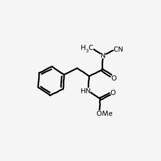 COC(=O)NC(Cc1ccccc1)C(=O)N(C)C#N